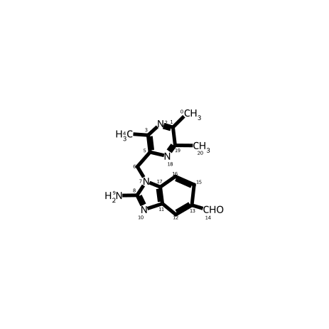 Cc1nc(C)c(Cn2c(N)nc3cc(C=O)ccc32)nc1C